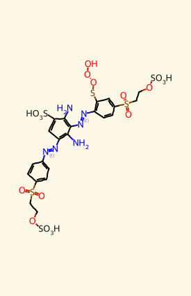 Nc1c(/N=N/c2ccc(S(=O)(=O)CCOS(=O)(=O)O)cc2)cc(S(=O)(=O)O)c(N)c1/N=N/c1ccc(S(=O)(=O)CCOS(=O)(=O)O)cc1SOOO